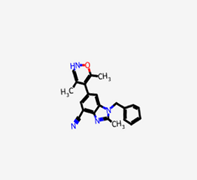 CC1=CNOC(C)=C1c1cc(C#N)c2nc(C)n(Cc3ccccc3)c2c1